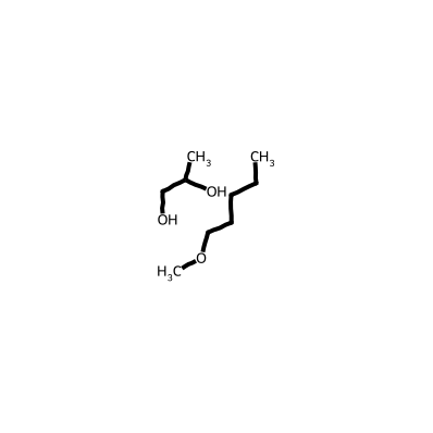 CC(O)CO.CCCCCOC